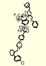 O=C(NS(=O)(=O)c1ccc(N[C@H](CCCN2C3CCC2CC3)CSc2ccccc2)c(S(=O)(=O)C(F)(F)F)c1)c1ccc(N2CCN(CC3=C(c4ccc(Cl)cc4)CCCC3)CC2)cc1